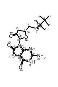 CC(C)(C)[Si](C)(C)OC[C@@H]1CC(=O)[C@H](n2c(=O)sc3c(=O)[nH]c(N)nc32)O1